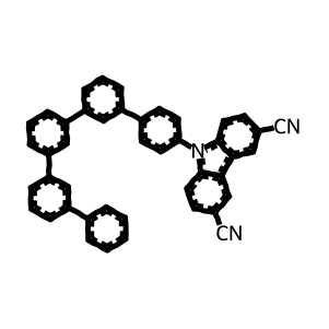 N#Cc1ccc2c(c1)c1cc(C#N)ccc1n2-c1ccc(-c2cccc(-c3cccc(-c4cccc(-c5ccccc5)c4)c3)c2)cc1